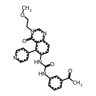 COCCn1cnc2ccc(NC(=O)Nc3cccc(C(C)=O)c3)c(-c3ccncc3)c2c1=O